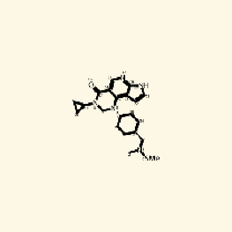 CSN(C)C[C@H]1CC[C@H](N2CN(C3CC3)C(=O)c3cnc4[nH]ccc4c32)CC1